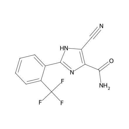 N#Cc1[nH]c(-c2ccccc2C(F)(F)F)nc1C(N)=O